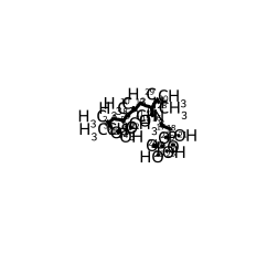 CC(C)(C)CC(C(C)(C)C(C)(C)CC(C(=O)NCCP(=O)(O)OP(=O)(O)O)C(C)(C)C)S(=O)(=O)O